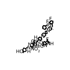 COc1nc2[nH]cc(F)c2cc1Oc1cc(N2CCC3(CC2)CC(N2C[C@@H](C)N(Cc4ccc(F)c(F)c4)C[C@H]2c2ccccc2C(C)C)C3)ccc1C(=O)NS(=O)(=O)c1cnc(NCC2CCC(C)(O)CC2)c([N+](=O)[O-])c1